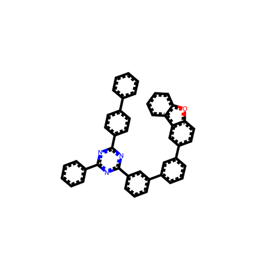 c1ccc(-c2ccc(-c3nc(-c4ccccc4)nc(-c4cccc(-c5cccc(-c6ccc7oc8ccccc8c7c6)c5)c4)n3)cc2)cc1